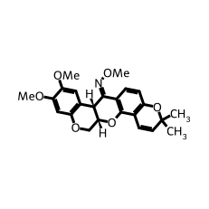 CON=C1c2ccc3c(c2O[C@@H]2COc4cc(OC)c(OC)cc4[C@H]12)C=CC(C)(C)O3